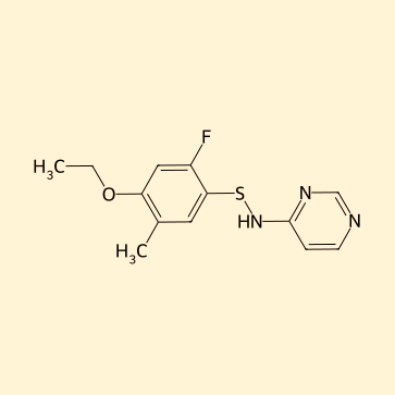 CCOc1cc(F)c(SNc2ccncn2)cc1C